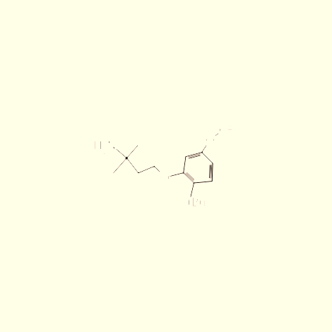 CC(C)(N)CCOc1cc(OC(F)(F)F)ccc1C(C)(C)C